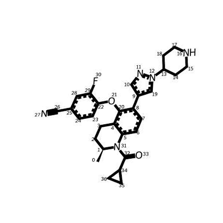 C[C@H]1CCc2c(ccc(-c3cnn(C4CCNCC4)c3)c2Oc2ccc(C#N)cc2F)N1C(=O)C1CC1